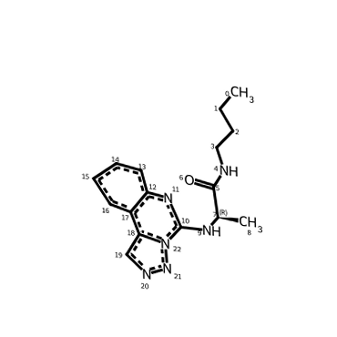 CCCCNC(=O)[C@@H](C)Nc1nc2ccccc2c2cnnn12